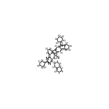 N#Cc1c(-c2ccc3ccccc3c2)nc(-c2ccccc2)nc1-c1cccc2c1oc1cc3c4ccccc4n(-c4ccccc4)c3cc12